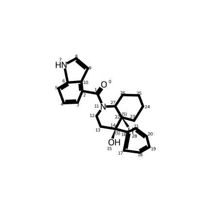 O=C(c1cccc2[nH]ccc12)N1CC[C@@](O)(c2ccccc2)[C@H]2CCCCC21